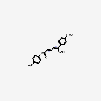 CCCCCCCC/C(=C\C=C\C(=O)Oc1ccc([N+](=O)[O-])cc1)c1ccc(OC)cc1